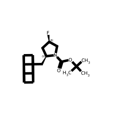 CC(C)(C)OC(=O)N1C[C@H](F)C[C@@H]1CC12C3C4C5C3C1C5C42